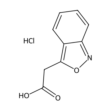 Cl.O=C(O)Cc1onc2ccccc12